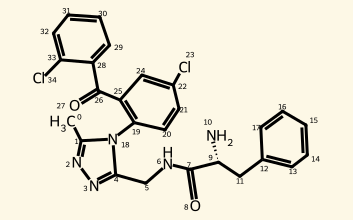 Cc1nnc(CNC(=O)[C@H](N)Cc2ccccc2)n1-c1ccc(Cl)cc1C(=O)c1ccccc1Cl